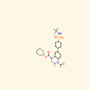 CC(=O)N1c2ccc(-c3ccc(S(=O)(=O)NC(C)(C)C)cc3)cc2N(C(=O)OC2CCCCC2)CC1C